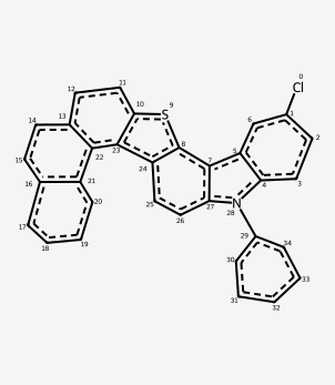 Clc1ccc2c(c1)c1c3sc4ccc5ccc6ccccc6c5c4c3ccc1n2-c1ccccc1